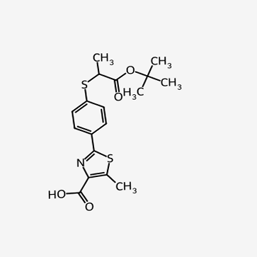 Cc1sc(-c2ccc(SC(C)C(=O)OC(C)(C)C)cc2)nc1C(=O)O